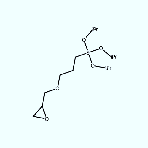 CC(C)O[Si](CCCOCC1CO1)(OC(C)C)OC(C)C